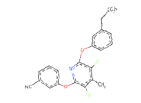 Cc1c(F)c(Oc2cccc(C#N)c2)nc(Oc2cccc(CC(=O)O)c2)c1F